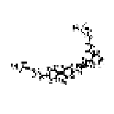 CCCCCCCc1ccccc1C=NN=Cc1ccc(-c2ccc(CCCCCC)cc2)c(F)c1